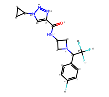 O=C(NC1CN(C(c2ccc(F)cc2)C(F)(F)F)C1)c1cn(C2CC2)nn1